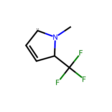 CN1[C]C=CC1C(F)(F)F